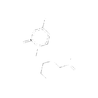 Nc1ccn(C[C@@H](CO)OC[PH](=O)O)c(=O)n1